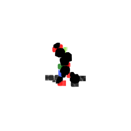 CC(CO)(NCc1cc(Cl)c(O[C@H]2CCc3c(-c4ccc5c(c4F)OCCO5)cccc32)cc1OCc1cc(C#N)cc(C#N)c1)C(=O)O